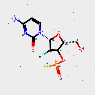 Nc1ccn([C@@H]2O[C@H](CO)C(O[PH](=O)S)C2F)c(=O)n1